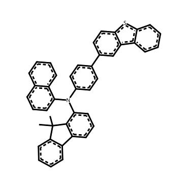 CC1(C)c2ccccc2-c2cccc(N(c3ccc(-c4ccc5sc6ccccc6c5c4)cc3)c3cccc4ccccc34)c21